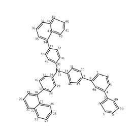 c1ccc(-c2cccc(-c3ccc(N(c4ccc(-c5cccc6ccccc56)cc4)c4ccc(-c5cccc6ccccc56)cc4)cc3)c2)cc1